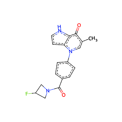 Cc1cn(-c2ccc(C(=O)N3CC(F)C3)cc2)c2cc[nH]c2c1=O